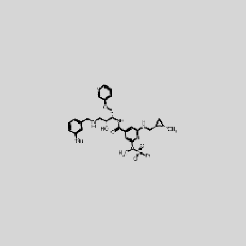 CC(C)S(=O)(=O)N(C)c1cc(C(=O)N[C@@H](COc2cccnc2)[C@H](O)CNCc2cccc(C(C)(C)C)c2)cc(NC[C@H]2C[C@@H]2C)n1